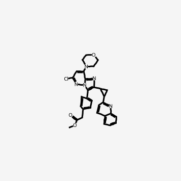 COC(=O)Cc1ccc(-c2c(C3CC3c3ccc4ccccc4n3)nc3c(N4CCOCC4)cc(Cl)nn23)cc1